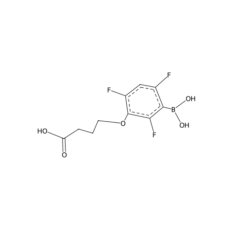 O=C(O)CCCOc1c(F)cc(F)c(B(O)O)c1F